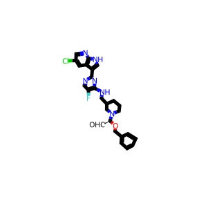 O=C[C@@H](OCc1ccccc1)N1CCCC(CNc2nc(-c3c[nH]c4ncc(Cl)cc34)ncc2F)C1